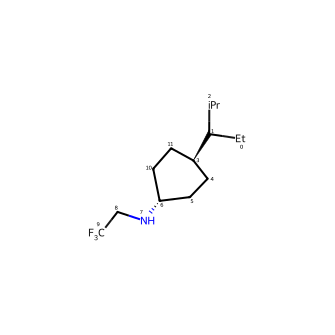 CCC(C(C)C)[C@H]1CC[C@H](NCC(F)(F)F)CC1